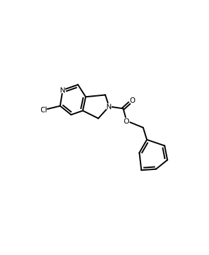 O=C(OCc1ccccc1)N1Cc2cnc(Cl)cc2C1